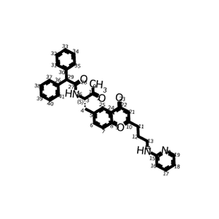 CC(=O)[C@H](Cc1ccc2oc(CCCNc3ccccn3)cc(=O)c2c1)NC(=O)C(c1ccccc1)c1ccccc1